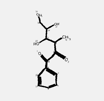 CC(C(=O)C(=O)c1ccccc1)C(O)C(O)CO